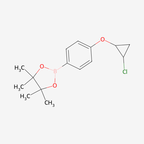 CC1(C)OB(c2ccc(OC3CC3Cl)cc2)OC1(C)C